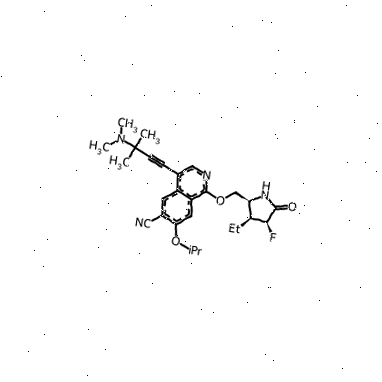 CC[C@@H]1[C@H](F)C(=O)N[C@@H]1COc1ncc(C#CC(C)(C)N(C)C)c2cc(C#N)c(OC(C)C)cc12